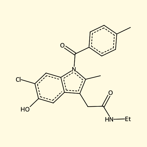 CCNC(=O)Cc1c(C)n(C(=O)c2ccc(C)cc2)c2cc(Cl)c(O)cc12